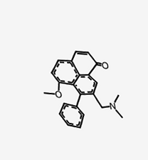 COc1ccc2c3c(cc(CN(C)C)c(-c4ccccc4)c13)C(=O)C=C2